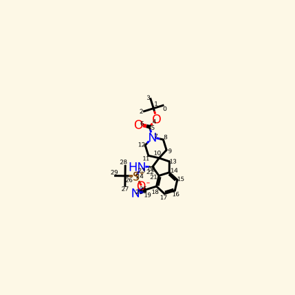 CC(C)(C)OC(=O)N1CCC2(CC1)Cc1cccc(C#N)c1[C@H]2N[S+]([O-])C(C)(C)C